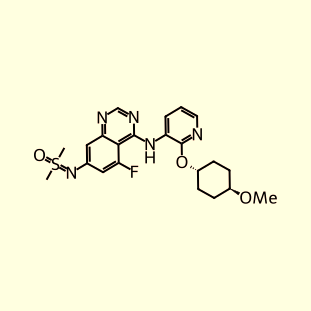 CO[C@H]1CC[C@H](Oc2ncccc2Nc2ncnc3cc(N=S(C)(C)=O)cc(F)c23)CC1